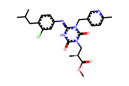 COC(=O)[C@@H](C)Cn1c(=O)[nH]/c(=N\c2ccc(CC(C)C)c(Cl)c2)n(Cc2ccc(C)nc2)c1=O